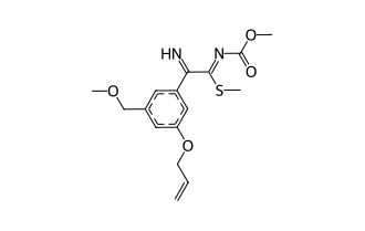 C=CCOc1cc(COC)cc(C(=N)C(=NC(=O)OC)SC)c1